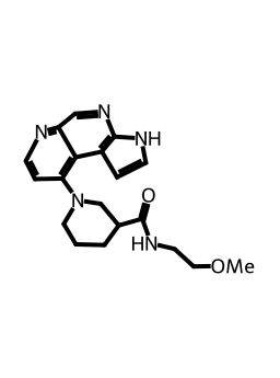 COCCNC(=O)C1CCCN(c2ccnc3cnc4[nH]ccc4c23)C1